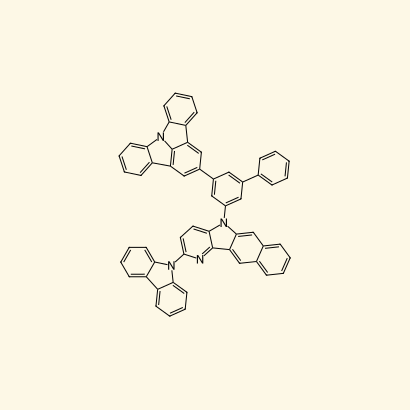 c1ccc(-c2cc(-c3cc4c5ccccc5n5c6ccccc6c(c3)c45)cc(-n3c4cc5ccccc5cc4c4nc(-n5c6ccccc6c6ccccc65)ccc43)c2)cc1